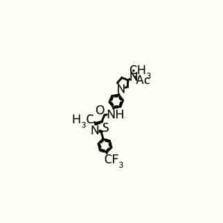 CC(=O)N(C)C1CCN(c2ccc(NC(=O)c3sc(-c4ccc(C(F)(F)F)cc4)nc3C)cc2)C1